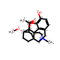 CO[C@@]12CCC3(CC1C(C)=O)C1Cc4ccc(O)c5c4C3(CCN1C)C2O5